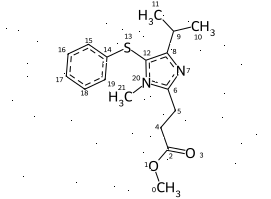 COC(=O)CCc1nc(C(C)C)c(Sc2ccccc2)n1C